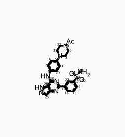 CC(=O)N1CCN(c2ccc(Nc3nc(-c4cccc(S(N)(=O)=O)c4)nc4cn[nH]c34)cc2)CC1